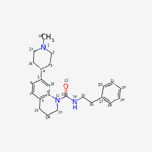 CN1CCC(c2ccc3c(c2)N(C(=O)NCCc2ccccc2)CCC3)CC1